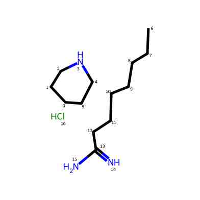 C1CCNCC1.CCCCCCCC(=N)N.Cl